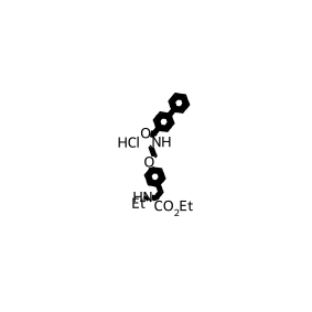 CCNC(Cc1ccc(OCCNC(=O)c2ccc(-c3ccccc3)cc2)cc1)C(=O)OCC.Cl